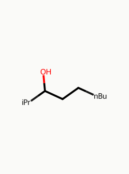 [CH2]C(C)C(O)CCCCCC